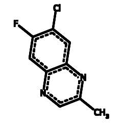 Cc1cnc2cc(F)c(Cl)cc2n1